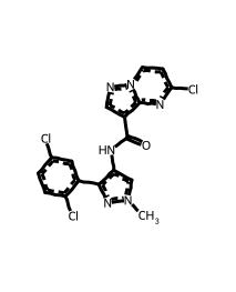 Cn1cc(NC(=O)c2cnn3ccc(Cl)nc23)c(-c2cc(Cl)ccc2Cl)n1